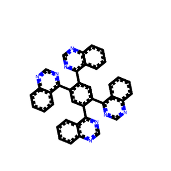 c1ccc2c(-c3cc(-c4ncnc5ccccc45)c(-c4ncnc5ccccc45)cc3-c3ncnc4ccccc34)ncnc2c1